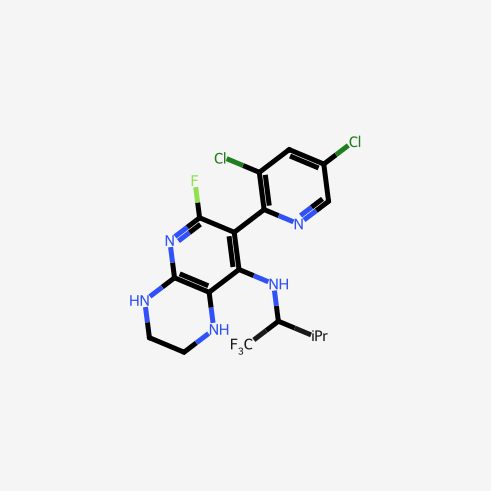 CC(C)C(Nc1c2c(nc(F)c1-c1ncc(Cl)cc1Cl)NCCN2)C(F)(F)F